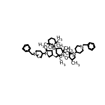 C[C@@H]1CN(C2CCN(Cc3ccccc3)CC2)C(=O)[C@H]1ON1C(C)(C)CCCC1(C)C[C@H]1CN(C2CCN(Cc3ccccc3)CC2)C(=O)[C@@H]1ON1C(C)(C)CCCC1(C)C